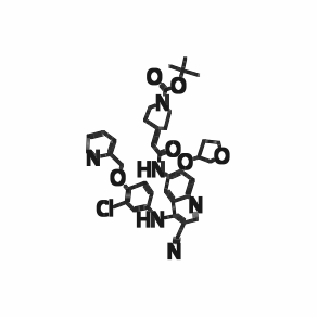 CC(C)(C)OC(=O)N1CCC(=CC(=O)Nc2cc3c(Nc4ccc(OCc5ccccn5)c(Cl)c4)c(C#N)cnc3cc2OC2CCOC2)CC1